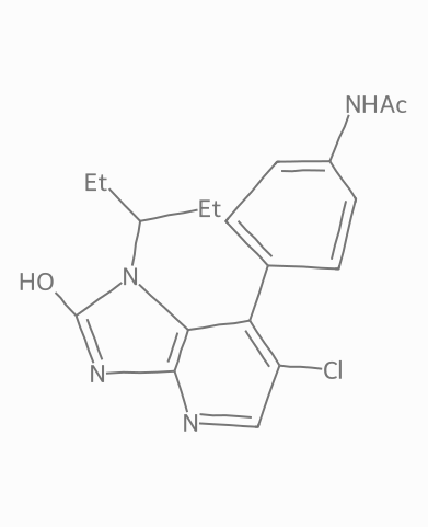 CCC(CC)n1c(O)nc2ncc(Cl)c(-c3ccc(NC(C)=O)cc3)c21